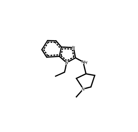 CCn1c(NC2CCN(C)C2)nc2ccccc21